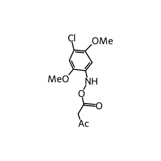 COc1cc(NOC(=O)CC(C)=O)c(OC)cc1Cl